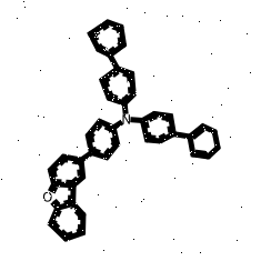 C1=CC(c2ccc(N(c3ccc(-c4ccccc4)cc3)c3ccc(-c4ccc5oc6ccccc6c5c4)cc3)cc2)=CCC1